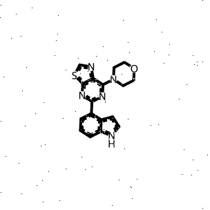 c1cc(-c2nc(N3CCOCC3)c3ncsc3n2)c2cc[nH]c2c1